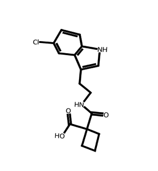 O=C(O)C1(C(=O)NCCc2c[nH]c3ccc(Cl)cc23)CCC1